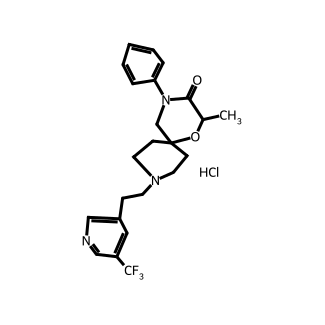 CC1OC2(CCN(CCc3cncc(C(F)(F)F)c3)CC2)CN(c2ccccc2)C1=O.Cl